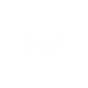 Cc1onc(-c2ccccc2)c1-c1cn(-c2ccc(F)c(Cl)c2)cn1